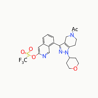 CC(=O)N1CCc2c(c(-c3cccc4cc(OS(=O)(=O)C(F)(F)F)ncc34)nn2C2CCOCC2)C1